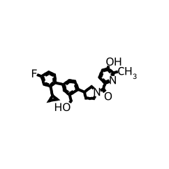 Cc1nc(C(=O)N2CCC(c3ccc(-c4ccc(F)cc4C4CC4)cc3CO)C2)ccc1O